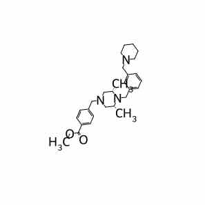 COC(=O)c1ccc(CN2C[C@@H](C)N(Cc3cccc(CN4CCCCC4)c3)[C@@H](C)C2)cc1